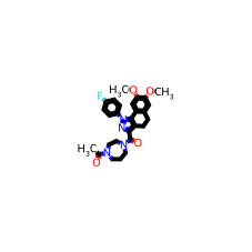 COc1cc2c(cc1OC)-c1c(c(C(=O)N3CCCN(C(C)=O)CC3)nn1-c1ccc(F)cc1)CC2